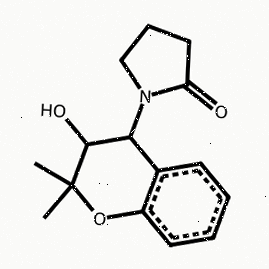 CC1(C)Oc2ccccc2C(N2CCCC2=O)C1O